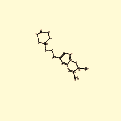 CCCC[C@H](Cc1ccc(OCCN2CCOCC2)cc1)C(N)=O